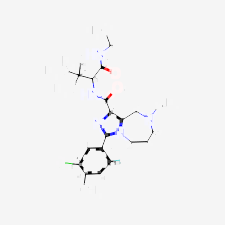 CCNC(=O)C(NC(=O)c1nc(-c2cc(Cl)c(C)cc2F)n2c1CN(C)CCC2)C(C)(C)C